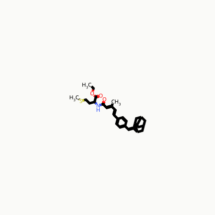 CCOC(=O)C(CCSC)NC(=O)C=C(C)C=Cc1ccc(C=C2C3CC4CC(C3)CC2C4)cc1